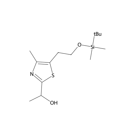 Cc1nc(C(C)O)sc1CCO[Si](C)(C)C(C)(C)C